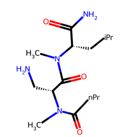 CCCC(=O)N(C)[C@H](CN)C(=O)N(C)[C@@H](CC(C)C)C(N)=O